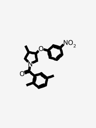 Cc1ccc(C)c(C(=O)N2CC(C)C(Oc3cccc([N+](=O)[O-])c3)C2)c1